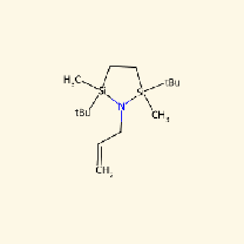 C=CCN1[Si](C)(C(C)(C)C)CC[Si]1(C)C(C)(C)C